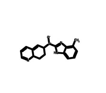 Cc1cccc2[nH]c([S+]([O-])C3C=C4C=CC=NC4CC3)nc12